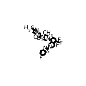 Cc1cc(C)n(CC(=O)N2CCN(c3ccc(C(F)(F)F)c4c3CN(c3nc5ccc(F)cc5s3)CC4)CC2C)n1